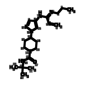 C=N/C(=N\CCC)Nc1cnn(C2CCN(C(=O)NC(C)(C)C)CC2)c1